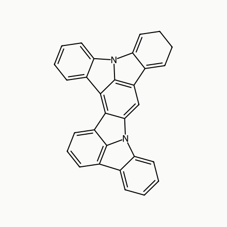 C1=c2c(n3c4ccccc4c4c5c6cccc7c8ccccc8n(c5cc2c43)c76)=CCC1